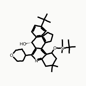 CC1(C)Cc2nc(C3CCOCC3)c([C@H](O)c3ccc(C(C)(C)C)cc3)c(C3=CCCC3)c2C(O[Si](C)(C)C(C)(C)C)C1